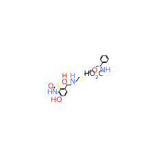 O=C(O)N[C@@H](COCCCSCCNC[C@H](O)c1ccc(O)c2[nH]c(=O)sc12)c1ccccc1